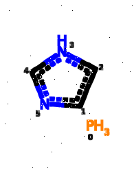 P.c1c[nH]cn1